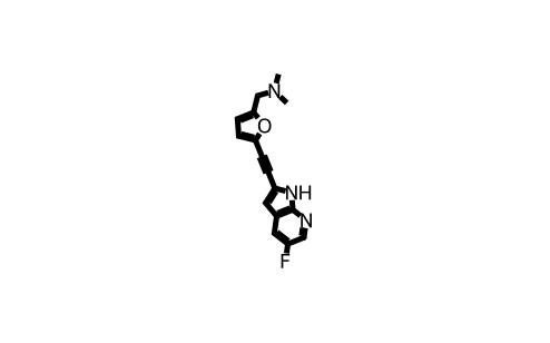 CN(C)Cc1ccc(C#Cc2cc3cc(F)cnc3[nH]2)o1